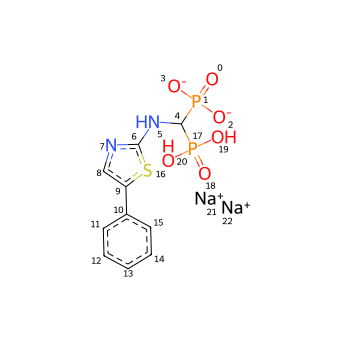 O=P([O-])([O-])C(Nc1ncc(-c2ccccc2)s1)P(=O)(O)O.[Na+].[Na+]